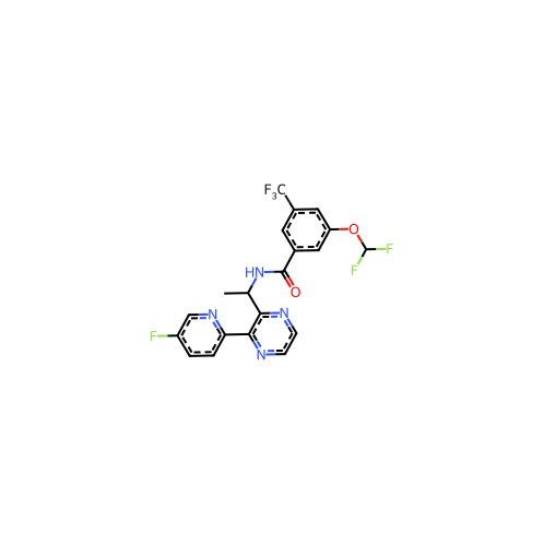 CC(NC(=O)c1cc(OC(F)F)cc(C(F)(F)F)c1)c1nccnc1-c1ccc(F)cn1